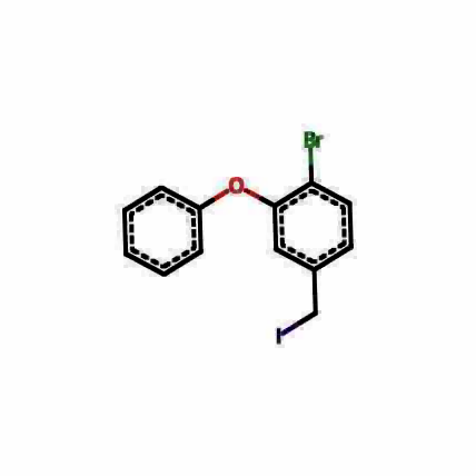 Brc1ccc(CI)cc1Oc1ccccc1